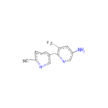 N#Cc1ccc(-c2ncc(N)cc2C(F)(F)F)cn1